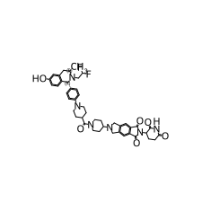 C[C@@H]1Cc2cc(O)ccc2[C@@H](c2ccc(N3CCC(C(=O)N4CCC(N5Cc6cc7c(cc6C5)C(=O)N(C5CCC(=O)NC5=O)C7=O)CC4)CC3)cc2)N1CC(F)F